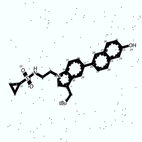 CC(C)(C)Cc1cn(CCNS(=O)(=O)C2CC2)c2ccc(-c3ccc4cc(O)ccc4c3)cc12